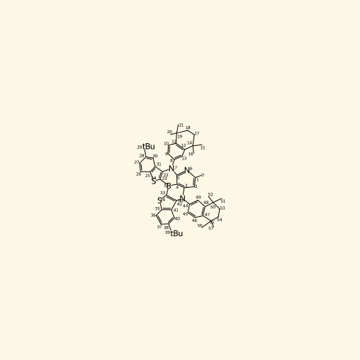 Cc1cc2c3c(n1)N(c1ccc4c(c1)C(C)(C)CCC4(C)C)c1c(sc4ccc(C(C)(C)C)cc14)B3c1sc3ccc(C(C)(C)C)cc3c1N2c1ccc2c(c1)C(C)(C)CCC2(C)C